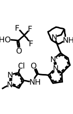 Cn1cc(NC(=O)c2ccc3ccc(N4CC5CCC4CN5)nn23)c(Cl)n1.O=C(O)C(F)(F)F